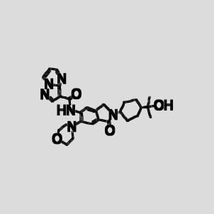 CC(C)(O)[C@H]1CC[C@H](N2Cc3cc(NC(=O)c4cnn5cccnc45)c(N4CCOCC4)cc3C2=O)CC1